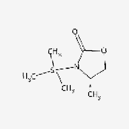 C[C@H]1COC(=O)N1[Si](C)(C)C